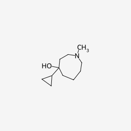 CN1CCCCC(O)(C2CC2)CC1